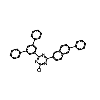 Clc1nc(-c2cc(-c3ccccc3)cc(-c3ccccc3)c2)nc(-c2ccc3cc(-c4ccccc4)ccc3c2)n1